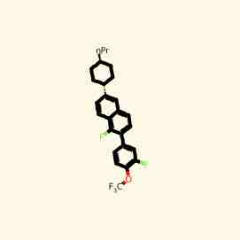 CCC[C@H]1CC[C@H](c2ccc3c(F)c(-c4ccc(OC(F)(F)F)c(F)c4)ccc3c2)CC1